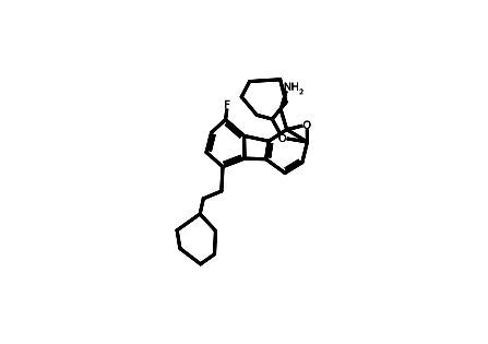 NCC12OC1(OC1CCCCC1)C=CC1=C2c2c(F)ccc(CCC3CCCCC3)c21